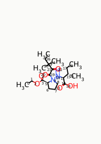 CCOC(=O)[C@@H]1CCC[N+]1(N[C@H](C(=O)O)[C@@H](C)CC)C(=O)C(=O)C(C)(C)CC